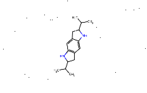 CC(C)C1Cc2cc3c(cc2N1)CC(C(C)C)N3